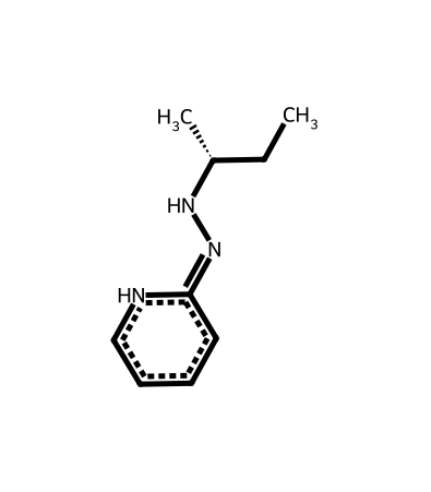 CC[C@@H](C)N/N=c1/cccc[nH]1